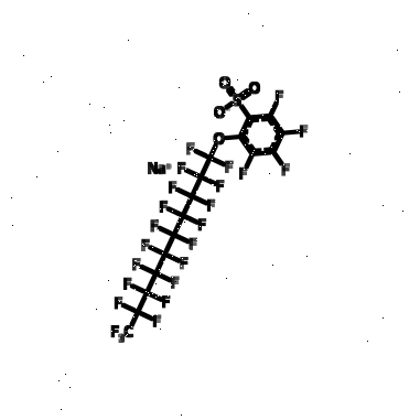 O=S(=O)([O-])c1c(F)c(F)c(F)c(F)c1OC(F)(F)C(F)(F)C(F)(F)C(F)(F)C(F)(F)C(F)(F)C(F)(F)C(F)(F)C(F)(F)C(F)(F)F.[Na+]